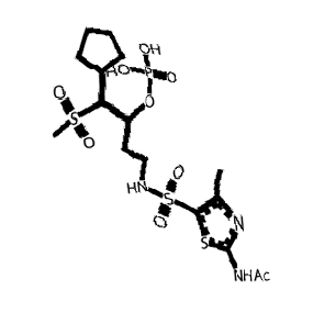 CC(=O)Nc1nc(C)c(S(=O)(=O)NCCC(OP(=O)(O)O)C(C2CCCC2)S(C)(=O)=O)s1